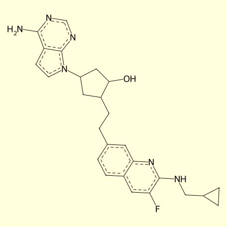 Nc1ncnc2c1ccn2C1CC(O)C(CCc2ccc3cc(F)c(NCC4CC4)nc3c2)C1